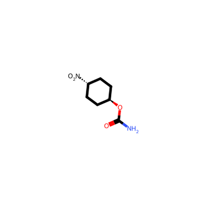 NC(=O)O[C@H]1CC[C@H]([N+](=O)[O-])CC1